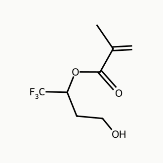 C=C(C)C(=O)OC(CCO)C(F)(F)F